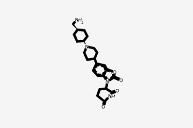 NC[C@H]1CC[C@H](N2CCC(c3ccc4c(c3)oc(=O)n4C3CCC(=O)NC3=O)CC2)CC1